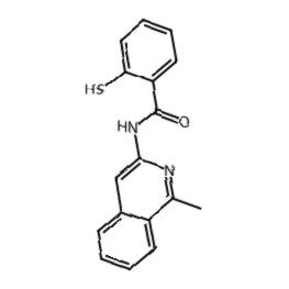 Cc1nc(NC(=O)c2ccccc2S)cc2ccccc12